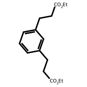 CCOC(=O)CCc1cccc(CCC(=O)OCC)c1